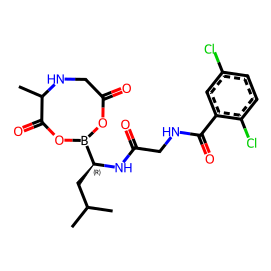 CC(C)C[C@H](NC(=O)CNC(=O)c1cc(Cl)ccc1Cl)B1OC(=O)CNC(C)C(=O)O1